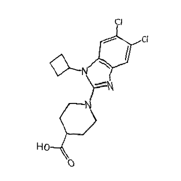 O=C(O)C1CCN(c2nc3cc(Cl)c(Cl)cc3n2C2CCC2)CC1